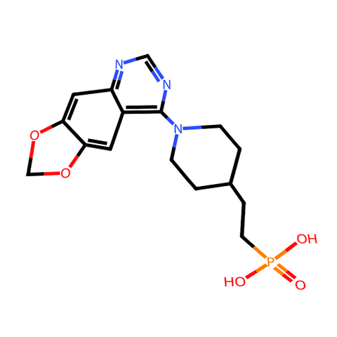 O=P(O)(O)CCC1CCN(c2ncnc3cc4c(cc23)OCO4)CC1